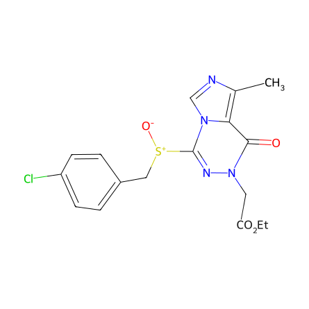 CCOC(=O)Cn1nc([S+]([O-])Cc2ccc(Cl)cc2)n2cnc(C)c2c1=O